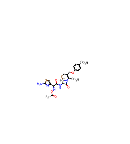 Nc1nc(C(=NOC(=O)C(F)(F)F)C(=O)NC2C(=O)N3C(C(=O)O)=C(COc4ccc(C(=O)O)cc4)CS[C@@H]23)cs1